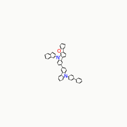 c1ccc(-c2ccc(-n3c4ccccc4c4cc(-c5ccc6c(c5)c5ccc7c8ccccc8oc7c5n6-c5ccc6ccccc6c5)ccc43)cc2)cc1